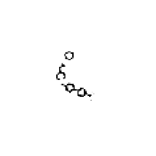 N=C(N)c1ccc(-c2ccc(C(=O)N3CCC(CC(=O)OC4CCCCC4)CC3)cc2)cc1